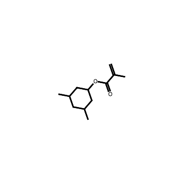 C=C(C)C(=O)OC1CC(C)CC(C)C1